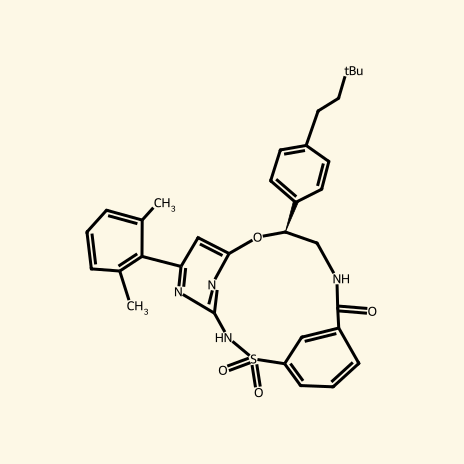 Cc1cccc(C)c1-c1cc2nc(n1)NS(=O)(=O)c1cccc(c1)C(=O)NC[C@H](c1ccc(CCC(C)(C)C)cc1)O2